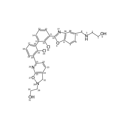 OCCNCc1ccc2oc(-c3cccc(-c4cccc(-c5ccc6c(n5)ON(CCO)C6)c4Cl)c3Cl)nc2c1